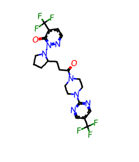 O=C(CCC1CCCN1n1nccc(C(F)(F)F)c1=O)N1CCN(c2ncc(C(F)(F)F)cn2)CC1